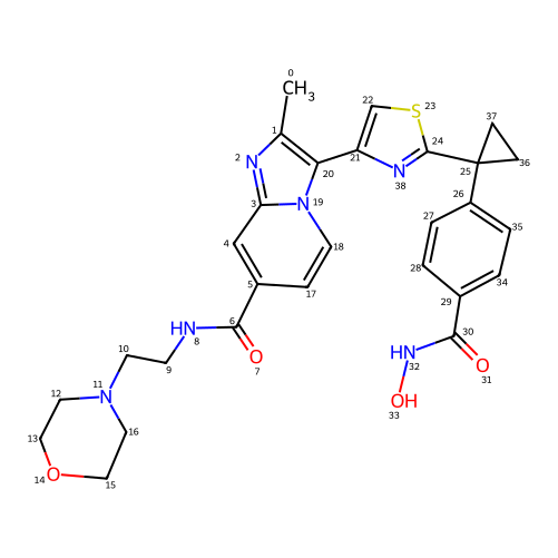 Cc1nc2cc(C(=O)NCCN3CCOCC3)ccn2c1-c1csc(C2(c3ccc(C(=O)NO)cc3)CC2)n1